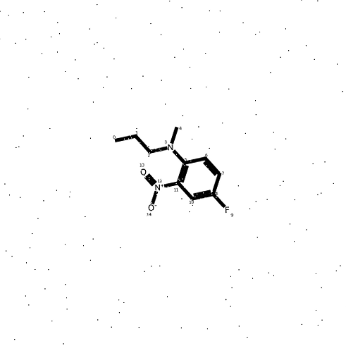 CCCN(C)c1ccc(F)cc1[N+](=O)[O-]